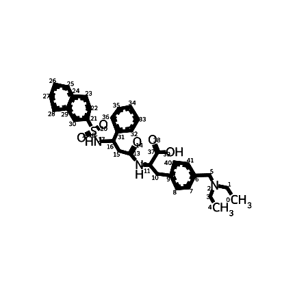 CCN(CC)Cc1ccc(CC(NC(=O)CC(NS(=O)(=O)c2ccc3ccccc3c2)c2ccccc2)C(=O)O)cc1